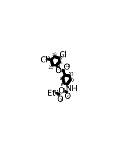 CCC(=O)OC(=O)Nc1ccc(C(=O)Oc2cc(Cl)cc(Cl)c2)cc1